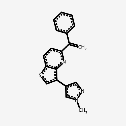 C=C(c1ccccc1)c1ccc2scc(-c3cnn(C)c3)c2n1